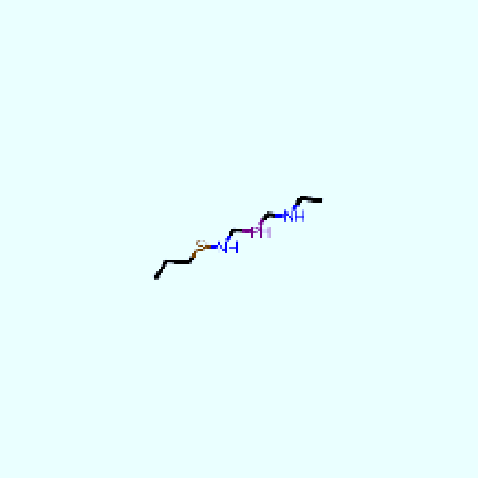 CCCSNCPCNCC